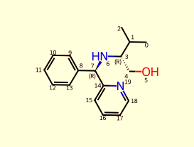 CC(C)[C@H](CO)N[C@H](c1ccccc1)c1ccccn1